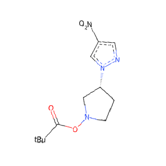 CC(C)(C)C(=O)ON1CC[C@@H](n2cc([N+](=O)[O-])cn2)C1